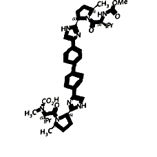 COC(=O)N[C@H](C(=O)N1[C@@H](C)CC[C@H]1c1nc(-c2ccc(-c3ccc(-c4c[nH]c([C@@H]5CC[C@H](C)N5C(=O)[C@H](C(C)C)N(C)C(=O)O)n4)cc3)cc2)c[nH]1)C(C)C